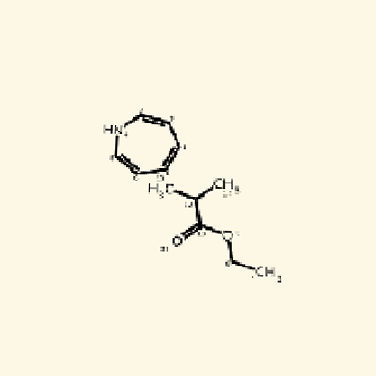 C1=CC=CNC=C1.CCOC(=O)C(C)C